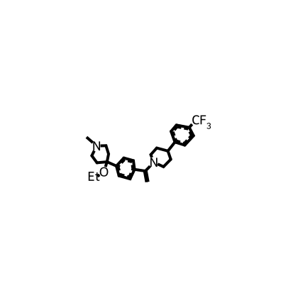 C=C(c1ccc(C2(OCC)CCN(C)CC2)cc1)N1CCC(c2ccc(C(F)(F)F)cc2)CC1